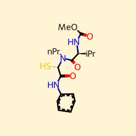 CCCN(C(=O)[C@@H](NC(=O)OC)C(C)C)[C@@H](S)C(=O)Nc1ccccc1